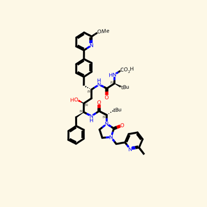 COc1cccc(-c2ccc(C[C@@H](C[C@H](O)[C@H](Cc3ccccc3)NC(=O)[C@@H](N3CCN(Cc4cccc(C)n4)C3=O)C(C)(C)C)NC(=O)[C@@H](NC(=O)O)C(C)(C)C)cc2)n1